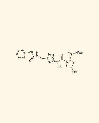 CNC(=O)C1CC(O)CN1C(=O)[C@@H](n1cc(CNC(=O)Nc2ccccc2)nn1)C(C)(C)C